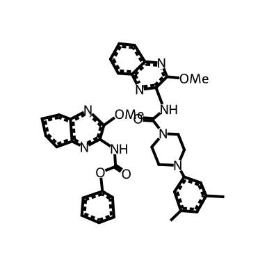 COc1nc2ccccc2nc1NC(=O)N1CCN(c2cc(C)cc(C)c2)CC1.COc1nc2ccccc2nc1NC(=O)Oc1ccccc1